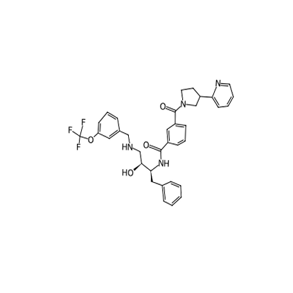 O=C(N[C@@H](Cc1ccccc1)[C@@H](O)CNCc1cccc(OC(F)(F)F)c1)c1cccc(C(=O)N2CCC(c3ccccn3)C2)c1